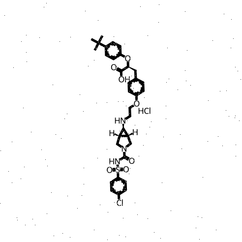 CC(C)(C)c1ccc(O[C@@H](Cc2ccc(OCCN[C@H]3[C@@H]4CN(C(=O)NS(=O)(=O)c5ccc(Cl)cc5)C[C@@H]43)cc2)C(=O)O)cc1.Cl